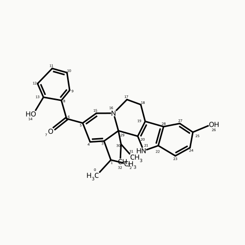 CC(C)C1=CC(C(=O)c2ccccc2O)=CN2CCc3c([nH]c4ccc(O)cc34)C12C(C)C